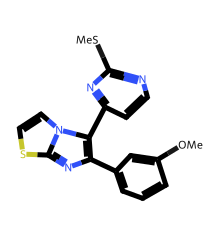 COc1cccc(-c2nc3sccn3c2-c2ccnc(SC)n2)c1